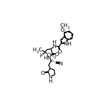 COc1cccc2[nH]c(C(=O)NC(CC(C)(C)F)C(=O)N[C@H](C#N)CC3CCNC3=O)cc12